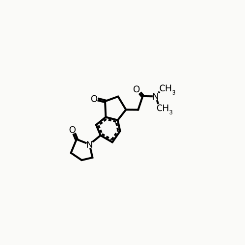 CN(C)C(=O)CC1CC(=O)c2cc(N3CCCC3=O)ccc21